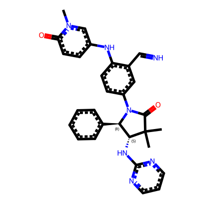 Cn1cc(Nc2ccc(N3C(=O)C(C)(C)[C@H](Nc4ncccn4)[C@H]3c3ccccc3)cc2C=N)ccc1=O